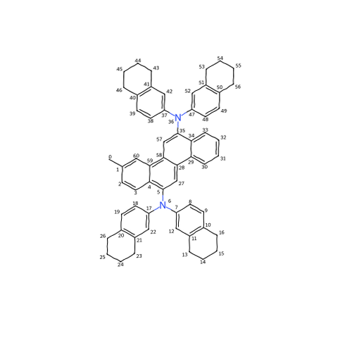 Cc1ccc2c(N(c3ccc4c(c3)CCCC4)c3ccc4c(c3)CCCC4)cc3c4ccccc4c(N(c4ccc5c(c4)CCCC5)c4ccc5c(c4)CCCC5)cc3c2c1